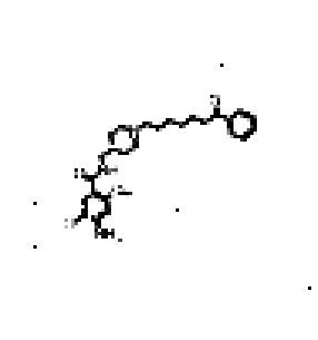 COc1cc(N)c(Cl)cc1C(=O)NCC1CCN(CCCCCCC(=O)c2ccccc2)CC1